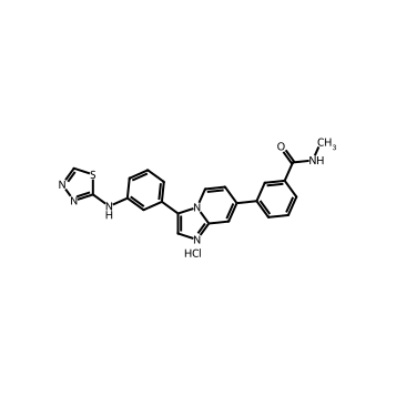 CNC(=O)c1cccc(-c2ccn3c(-c4cccc(Nc5nncs5)c4)cnc3c2)c1.Cl